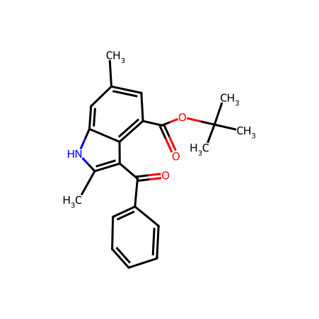 Cc1cc(C(=O)OC(C)(C)C)c2c(C(=O)c3ccccc3)c(C)[nH]c2c1